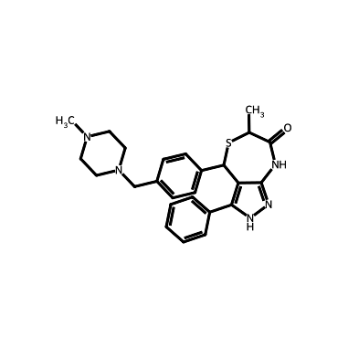 CC1SC(c2ccc(CN3CCN(C)CC3)cc2)c2c(n[nH]c2-c2ccccc2)NC1=O